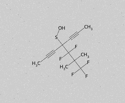 CC#CC(C#CC)(SO)C(F)(F)C(C)(C)C(F)(F)F